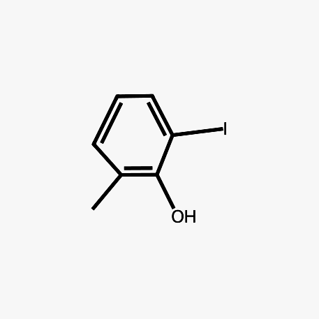 Cc1cccc(I)c1O